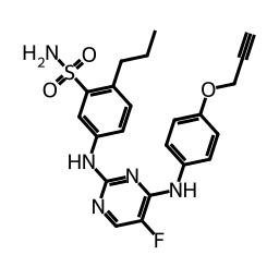 C#CCOc1ccc(Nc2nc(Nc3ccc(CCC)c(S(N)(=O)=O)c3)ncc2F)cc1